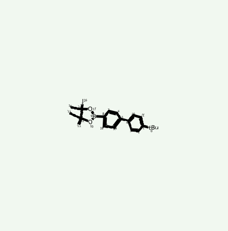 CC(C)(C)c1ccc(-c2ccc(B3OC(C)(C)C(C)(I)O3)cc2)cc1